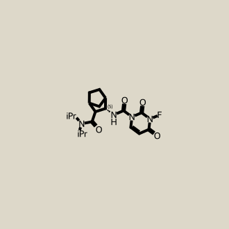 CC(C)N(C(=O)C1C2CCC(C2)[C@@H]1NC(=O)n1ccc(=O)n(F)c1=O)C(C)C